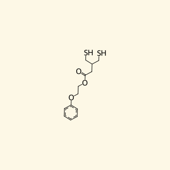 O=C(CC(CS)CS)OCCOc1ccccc1